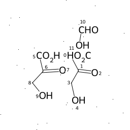 O=C(O)C(=O)CO.O=C(O)C(=O)CO.O=CO